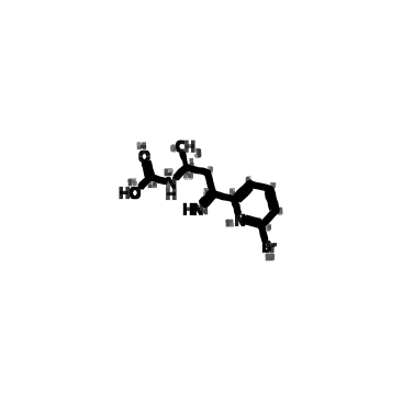 C[C@@H](CC(=N)c1cccc(Br)n1)NC(=O)O